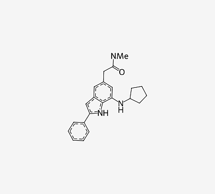 CNC(=O)Cc1cc(NC2CCCC2)c2[nH]c(-c3ccccc3)cc2c1